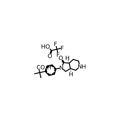 CC(C)(C(=O)O)c1ccc(N2C[C@@H]3CNCC[C@@H]3C2=O)cc1.O=C(O)C(F)(F)F